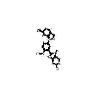 CCSc1ccc(-n2ncc3ccc(Cl)cc32)nc1-c1nc2cc(C(F)(F)F)ncc2n1C